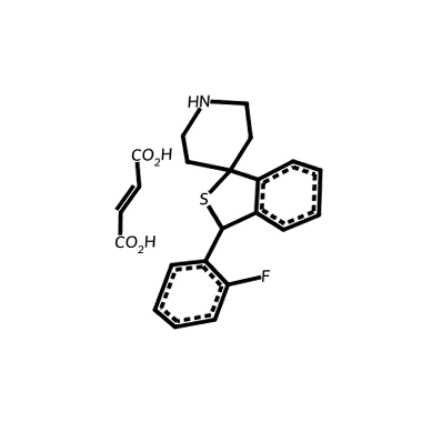 Fc1ccccc1C1SC2(CCNCC2)c2ccccc21.O=C(O)C=CC(=O)O